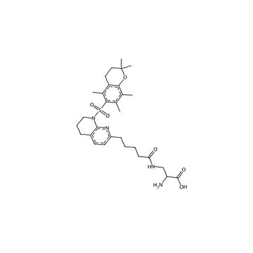 Cc1c(C)c(S(=O)(=O)N2CCCc3ccc(CCCCC(=O)NCC(N)C(=O)O)nc32)c(C)c2c1OC(C)(C)CC2